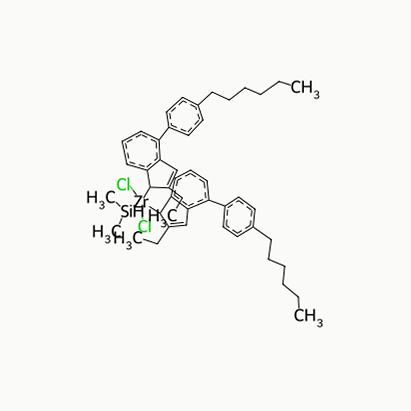 CCCCCCc1ccc(-c2cccc3c2C=C(CC)[CH]3[Zr]([Cl])([Cl])([CH]2C(CC)=Cc3c(-c4ccc(CCCCCC)cc4)cccc32)[SiH](C)C)cc1